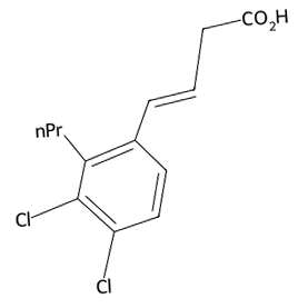 CCCc1c(C=CCC(=O)O)ccc(Cl)c1Cl